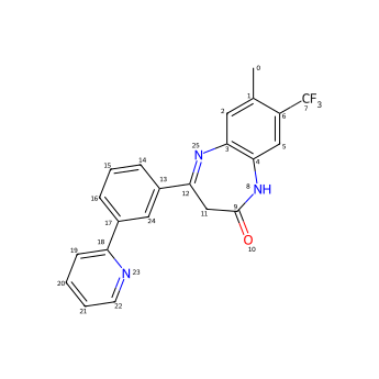 Cc1cc2c(cc1C(F)(F)F)NC(=O)CC(c1cccc(-c3ccccn3)c1)=N2